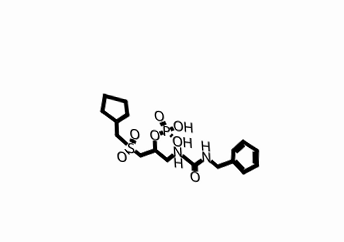 O=C(NCc1ccccc1)NCC(CS(=O)(=O)CC1CCCC1)OP(=O)(O)O